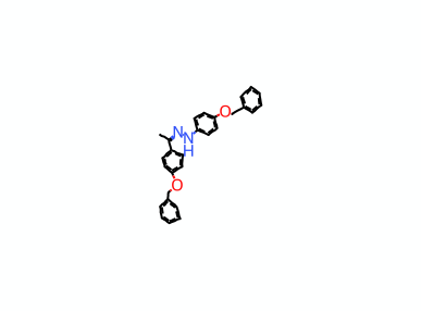 C/C(=N/Nc1ccc(OCc2ccccc2)cc1)c1ccc(OCc2ccccc2)cc1